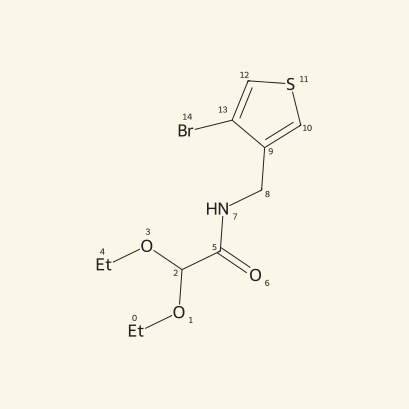 CCOC(OCC)C(=O)NCc1cscc1Br